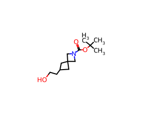 CC(C)(C)OC(=O)N1CC2(CC(CCO)C2)C1